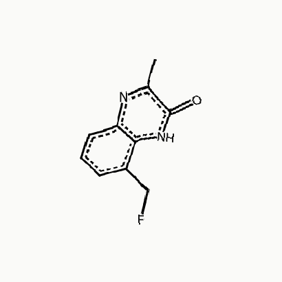 Cc1nc2cccc(CF)c2[nH]c1=O